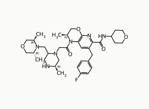 C[C@@H]1CN(CC(=O)N2c3cc(Cc4ccc(F)cc4)c(C(=O)NC4CCOCC4)nc3OC[C@@H]2C)C(CN2[C@H](C)COC[C@H]2C)CN1